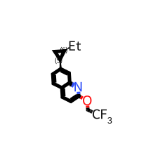 CC[C@H]1C[C@@H]1c1ccc2ccc(OCC(F)(F)F)nc2c1